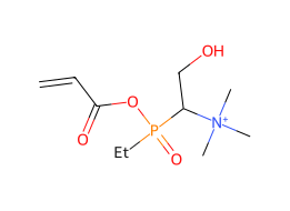 C=CC(=O)OP(=O)(CC)C(CO)[N+](C)(C)C